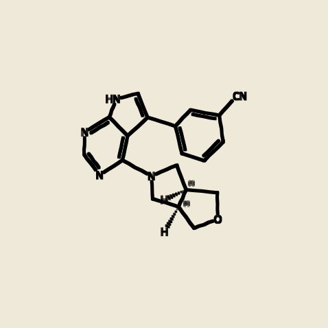 N#Cc1cccc(-c2c[nH]c3ncnc(N4C[C@H]5COC[C@H]5C4)c23)c1